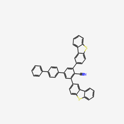 N#Cc1c(-c2ccc3sc4ccccc4c3c2)cc(-c2ccc(-c3ccccc3)cc2)cc1-c1ccc2sc3ccccc3c2c1